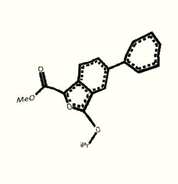 COC(=O)c1oc(OC(C)C)c2cc(-c3ccccc3)ccc12